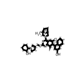 C[C@]12CCC(CN(c3nc(OC[C@@H]4CCN(C5CCCCC5O)C4)nc4c(F)c(-c5cc(O)cc6ccccc56)c(Cl)cc34)C1)N2